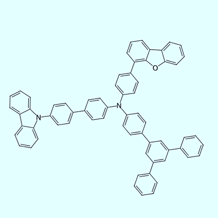 c1ccc(-c2cc(-c3ccccc3)cc(-c3ccc(N(c4ccc(-c5ccc(-n6c7ccccc7c7ccccc76)cc5)cc4)c4ccc(-c5cccc6c5oc5ccccc56)cc4)cc3)c2)cc1